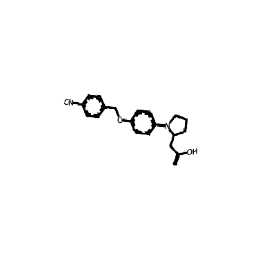 [C-]#[N+]c1ccc(COc2ccc(N3CCCC3CC(=C)O)cc2)cc1